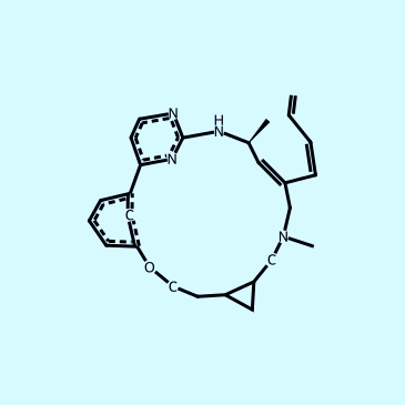 C=C/C=C\C1=C/[C@H](C)Nc2nccc(n2)-c2cccc(c2)OCCC2CC2CN(C)C1